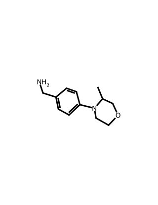 CC1COCCN1c1ccc(CN)cc1